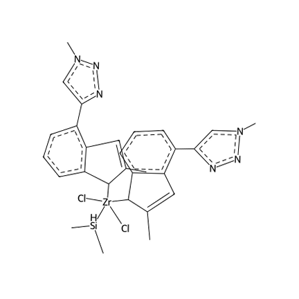 CC1=Cc2c(-c3cn(C)nn3)cccc2[CH]1[Zr]([Cl])([Cl])([CH]1C(C)=Cc2c(-c3cn(C)nn3)cccc21)[SiH](C)C